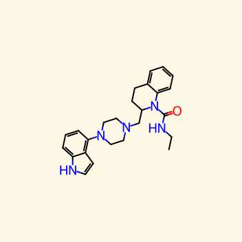 CCNC(=O)N1c2ccccc2CCC1CN1CCN(c2cccc3[nH]ccc23)CC1